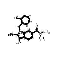 CCCc1c(C(C)=O)c2ccc(C(=O)N(C)C)cc2n1Cc1ccccc1Cl